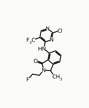 CC1c2cccc(Nc3nc(Cl)ncc3C(F)(F)F)c2C(=O)N1CCF